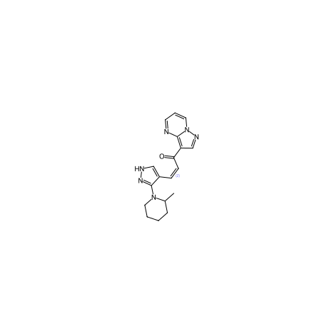 CC1CCCCN1c1n[nH]cc1/C=C\C(=O)c1cnn2cccnc12